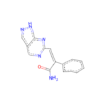 NC(=O)C(=Cc1ncc2cn[nH]c2n1)c1ccccc1